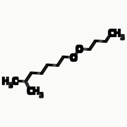 CCCCOOCCCCCC(C)C